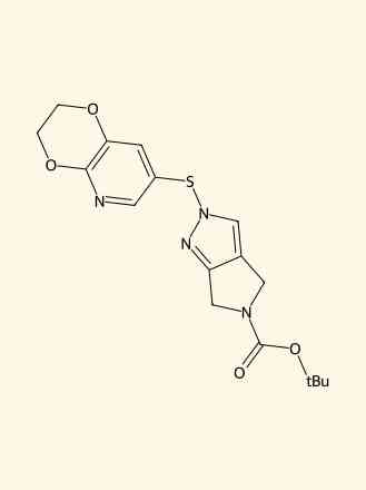 CC(C)(C)OC(=O)N1Cc2cn(Sc3cnc4c(c3)OCCO4)nc2C1